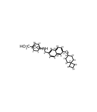 O=C(O)C12CCC(NCc3ccc4cc(OC5CCC6(CCC6)CC5)ccc4c3)(CC1)CC2